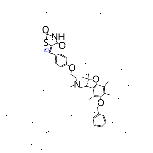 Cc1c(C)c2c(c(C)c1OCc1ccccc1)C(CN(C)CCOc1ccc(/C=C3/SC(=O)NC3=O)cc1)C(C)(C)O2